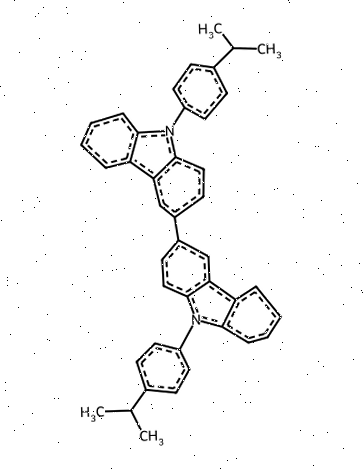 CC(C)c1ccc(-n2c3ccccc3c3cc(-c4ccc5c(c4)c4ccccc4n5-c4ccc(C(C)C)cc4)ccc32)cc1